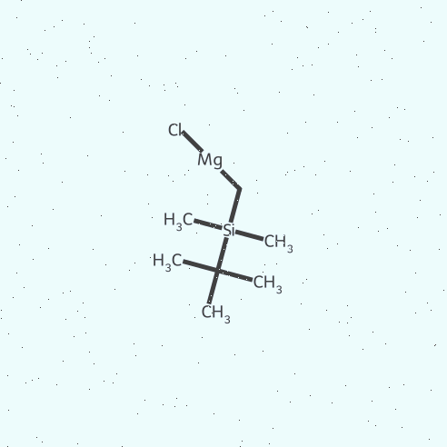 CC(C)(C)[Si](C)(C)[CH2][Mg][Cl]